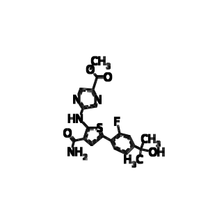 COC(=O)c1cnc(Nc2sc(-c3ccc(C(C)(C)O)cc3F)cc2C(N)=O)cn1